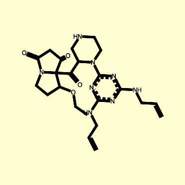 C=CCNc1nc(NCC=C)nc(N2CCNCC2C(=O)C23C(=O)CC(=O)N2CCC3OCC)n1